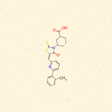 Cc1ccccc1-c1cccc(C=C2SC(=S)N(C3CCCC(C(=O)O)C3)C2=O)n1